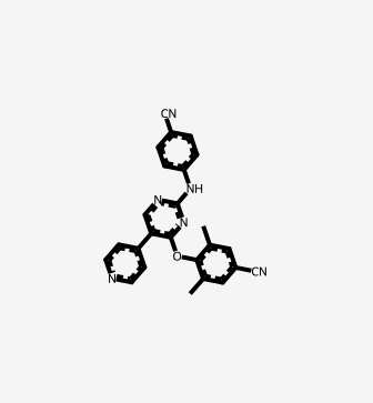 Cc1cc(C#N)cc(C)c1Oc1nc(Nc2ccc(C#N)cc2)ncc1-c1ccncc1